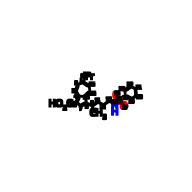 CC(C)c1ccc2c(C(=O)O)cc(C(C)CCCNS(=O)(=O)c3ccccc3)c-2cc1